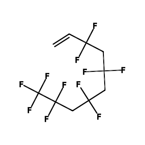 C=CC(F)(F)CC(F)(F)CC(F)(F)CC(F)(F)C(F)(F)F